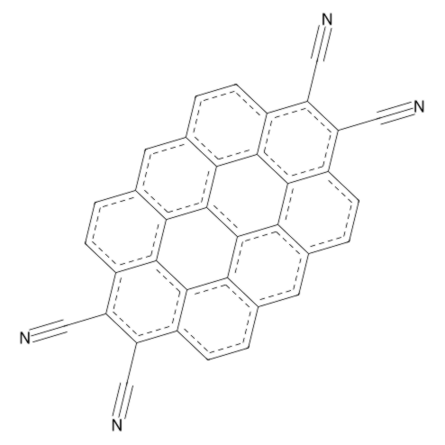 N#Cc1c(C#N)c2ccc3cc4ccc5c(C#N)c(C#N)c6ccc7cc8ccc1c1c8c8c7c6c5c4c8c3c21